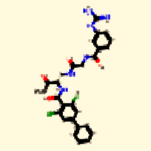 COC(=O)[C@H](CNC(=O)CNC(=O)c1cccc(NC(=N)N)c1)NC(=O)c1c(Cl)cc(-c2ccccc2)cc1Cl